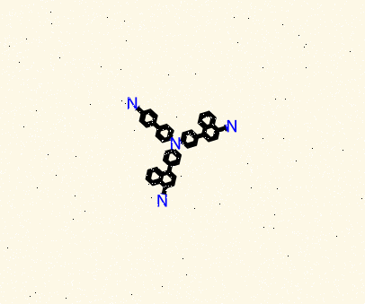 N#Cc1ccc(-c2ccc(N(c3ccc(-c4ccc(C#N)c5ccccc45)cc3)c3ccc(-c4ccc(C#N)c5ccccc45)cc3)cc2)cc1